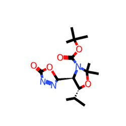 CC(C)[C@H]1OC(C)(C)N(C(=O)OC(C)(C)C)[C@@H]1C1N=NC(=O)O1